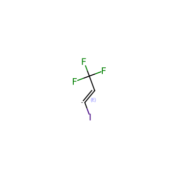 FC(F)(F)/C=[C]/I